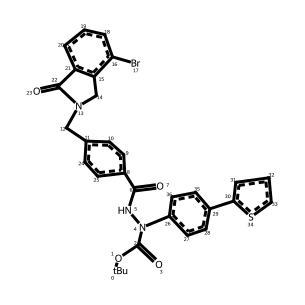 CC(C)(C)OC(=O)N(NC(=O)c1ccc(CN2Cc3c(Br)cccc3C2=O)cc1)c1ccc(-c2cccs2)cc1